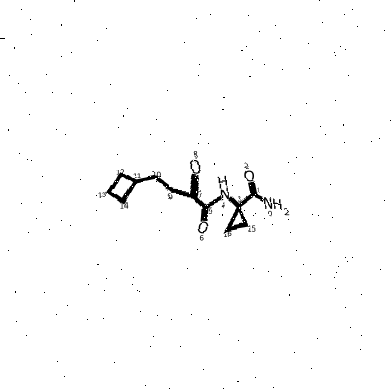 NC(=O)C1(NC(=O)C(=O)[CH]CC2CCC2)CC1